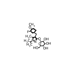 COc1ccc(Cc2c(O[C@@H]3O[C@H](CO)[C@@H](O)[C@H](O)[C@H]3O)nn(C(C)C)c2C)cc1F